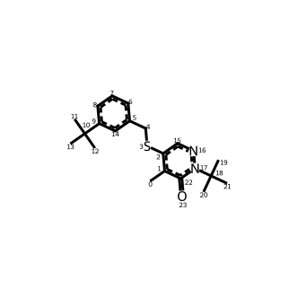 Cc1c(SCc2cccc(C(C)(C)C)c2)cnn(C(C)(C)C)c1=O